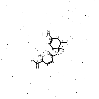 CNC(O)/C=C\C(=O)NC1(C)CC=C(N)CC1C